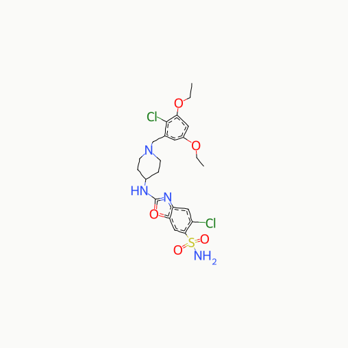 CCOc1cc(CN2CCC(Nc3nc4cc(Cl)c(S(N)(=O)=O)cc4o3)CC2)c(Cl)c(OCC)c1